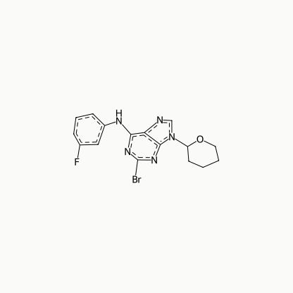 Fc1cccc(Nc2nc(Br)nc3c2ncn3C2CCCCO2)c1